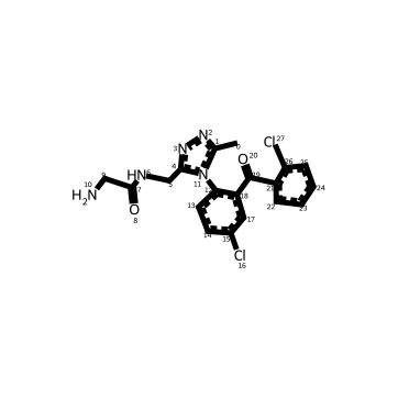 Cc1nnc(CNC(=O)CN)n1-c1ccc(Cl)cc1C(=O)c1ccccc1Cl